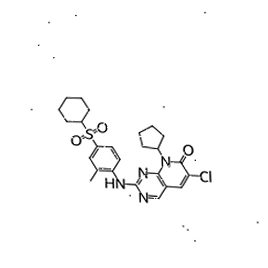 Cc1cc(S(=O)(=O)C2CCCCC2)ccc1Nc1ncc2cc(Cl)c(=O)n(C3CCCC3)c2n1